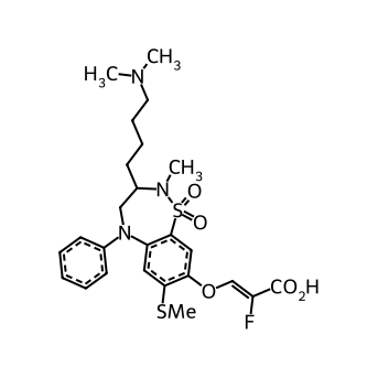 CSc1cc2c(cc1O/C=C(\F)C(=O)O)S(=O)(=O)N(C)C(CCCCN(C)C)CN2c1ccccc1